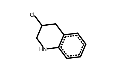 ClC1CNc2ccccc2C1